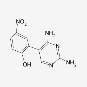 Nc1ncc(-c2cc([N+](=O)[O-])ccc2O)c(N)n1